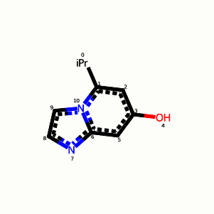 CC(C)c1cc(O)cc2nccn12